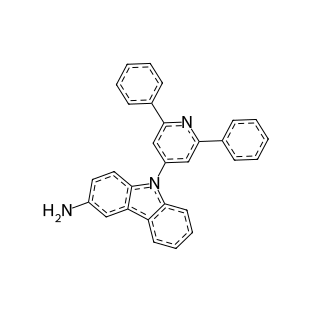 Nc1ccc2c(c1)c1ccccc1n2-c1cc(-c2ccccc2)nc(-c2ccccc2)c1